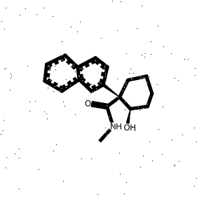 CNC(=O)[C@]1(c2ccc3ccccc3c2)CCCC[C@H]1O